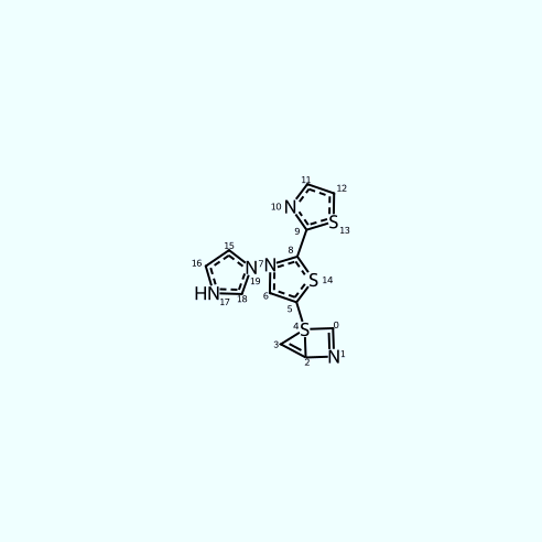 C1=NC2=CS12c1cnc(-c2nccs2)s1.c1c[nH]cn1